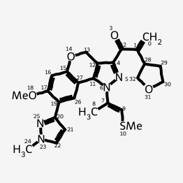 C=C(C(=O)c1nn(/C(C)=C/SC)c2c1COc1cc(OC)c(-c3ccn(C)n3)cc1-2)C1CCOC1